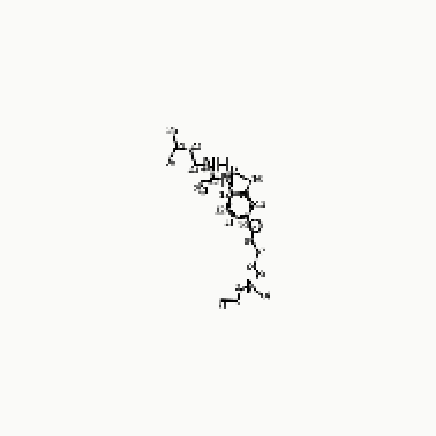 C=CCN(C)CCCCOc1ccc2c(c1)CCN2C(=S)NCCC(C)C